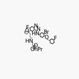 CCCS(=O)(=O)CCNCCCC1(c2cc3c(Nc4ccc(OCc5cccc(F)c5)c(Br)c4)ncnc3cc2F)CC=CO1